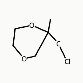 CC1(CCl)COCCO1